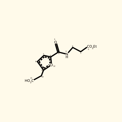 CCOC(=O)CCNC(=O)c1ccc(CC(=O)O)o1